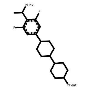 CCCCCCC(C)c1c(F)cc(C2CCC(C3CCC(CCCCC)CC3)CC2)cc1F